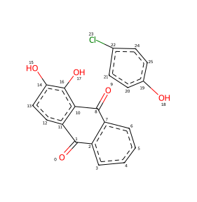 O=C1c2ccccc2C(=O)c2c1ccc(O)c2O.Oc1ccc(Cl)cc1